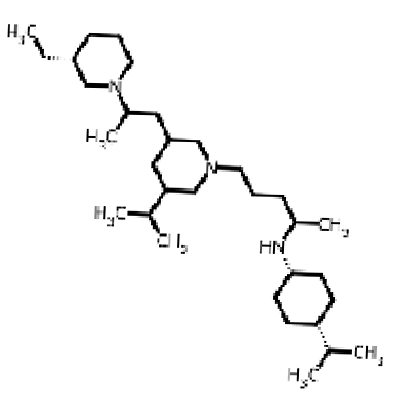 CC[C@@H]1CCCN(C(C)CC2CC(C(C)C)CN(CCCC(C)N[C@H]3CC[C@@H](C(C)C)CC3)C2)C1